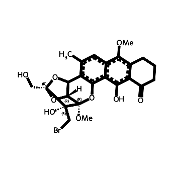 COc1c2c(c(O)c3c4c(c(C)cc13)C1O[C@]3(CO)O[C@H]1[C@@](OC)(O4)[C@@]3(O)CBr)C(=O)CCC2